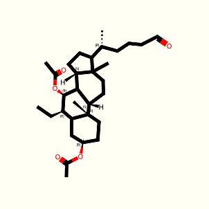 CC[C@@H]1C2C[C@H](OC(C)=O)CC[C@@]2(C)[C@H]2CCC3(C)C([C@H](C)CCCC=O)CC[C@H]3C2[C@@H]1OC(C)=O